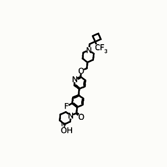 O=C(c1ccc(-c2ccc(OCC3CCN(CC4(C(F)(F)F)CCC4)CC3)nc2)cc1F)N1CCC[C@@H](O)C1